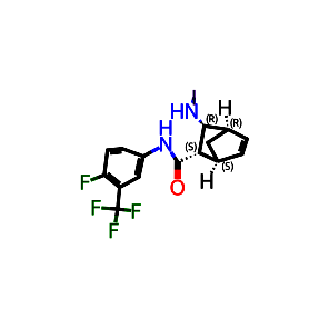 O=C(Nc1ccc(F)c(C(F)(F)F)c1)[C@@H]1[C@H](NI)[C@H]2C=C[C@@H]1C2